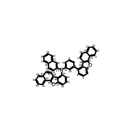 c1cc(-c2cccc3oc4c5ccccc5ccc4c23)cc(N(c2ccc3ccccc3c2)c2cccc3oc4c5ccccc5ccc4c23)c1